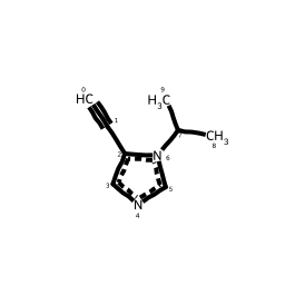 C#Cc1cncn1C(C)C